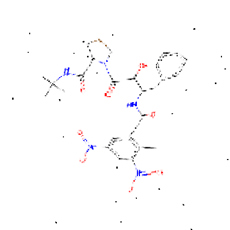 Cc1c(C(=O)NC(Cc2ccccc2)C(O)C(=O)N2CSCC2C(=O)NC(C)(C)C)cc([N+](=O)[O-])cc1[N+](=O)[O-]